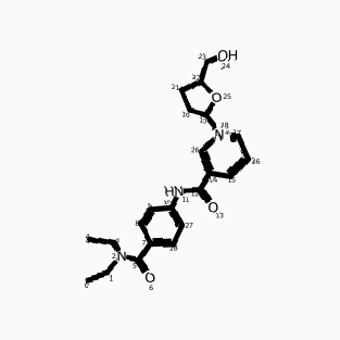 CCN(CC)C(=O)c1ccc(NC(=O)c2ccc[n+](C3CCC(CO)O3)c2)cc1